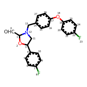 O=CC1OC(c2ccc(F)cc2)CN1Cc1ccc(Oc2ccc(F)cc2)cc1